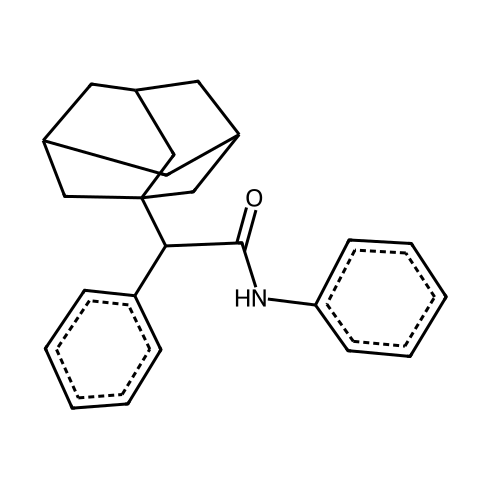 O=C(Nc1ccccc1)C(c1ccccc1)C12CC3CC(CC(C3)C1)C2